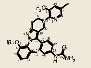 Cc1cnc(N2CCc3nn(-c4c(C)cccc4OCC(C)C)c(-c4ccc(NC(N)=O)cc4)c3C2)c(C(F)(F)F)c1